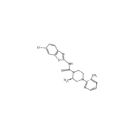 Cc1cccnc1N1CCN(C(=O)Nc2nc3ccc(Cl)cc3s2)[C@H](C)C1